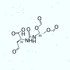 O=CC[C@H](NC(=O)N[C@@H](COC=O)OC=O)C(=O)O